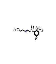 O=[N+]([O-])c1ccc(F)cc1NC/C=C/CCO